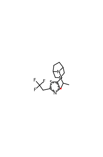 CC(C)N1CC2CCC(C1)N2Cc1cnc(CC(F)(F)F)s1